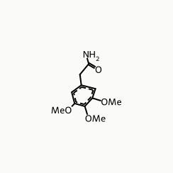 COc1cc(CC(N)=O)cc(OC)c1OC